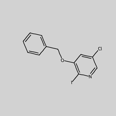 Clc1cnc(I)c(OCc2ccccc2)c1